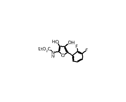 CCOC(=O)Nc1oc(-c2cccc(F)c2F)c(O)c1O